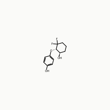 Oc1ccc(O[C@H]2[C@H](O)CCCC2(F)F)cc1